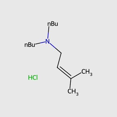 CCCCN(CC=C(C)C)CCCC.Cl